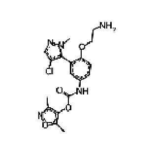 Cc1noc(C)c1OC(=O)Nc1ccc(OCCN)c(-c2c(Cl)cnn2C)c1